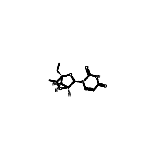 CC[C@@]12O[C@@H](n3ccc(=O)[nH]c3=O)[C@@H](OC1C)[C@H]2O